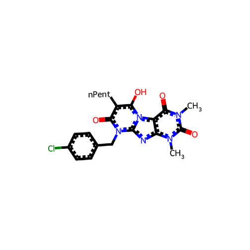 CCCCCc1c(O)n2c3c(=O)n(C)c(=O)n(C)c3nc2n(Cc2ccc(Cl)cc2)c1=O